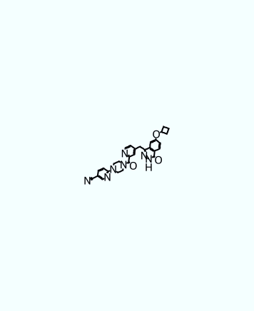 N#Cc1ccc(N2CCN(C(=O)c3cc(Cc4n[nH]c(=O)c5ccc(OC6CCC6)cc45)ccn3)CC2)nc1